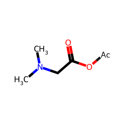 CC(=O)OC(=O)CN(C)C